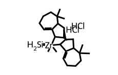 CC1CC2C(=CCCCC2(C)C)[CH]1[Zr]([CH3])([CH3])(=[SiH2])[CH]1C2=CCCCC(C)(C)C2CC1C.Cl.Cl